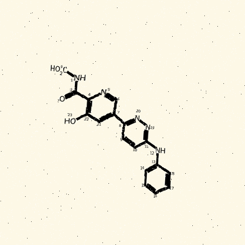 O=C(O)NC(=O)c1ncc(-c2ccc(Nc3ccccc3)nn2)cc1O